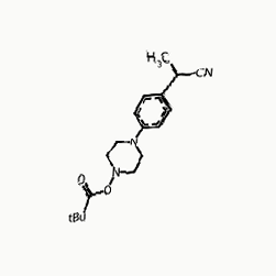 CC(C#N)c1ccc(N2CCN(OC(=O)C(C)(C)C)CC2)cc1